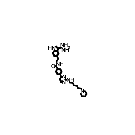 N=C(N)c1c[nH]c2ccc(CCNC(=O)c3ccc(-c4ccnc(NCCCCCCN5CCCCC5)n4)cc3)cc12